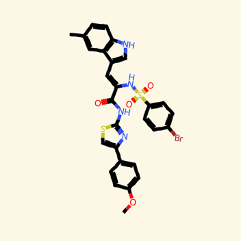 COc1ccc(-c2csc(NC(=O)C(=Cc3c[nH]c4ccc(C)cc34)NS(=O)(=O)c3ccc(Br)cc3)n2)cc1